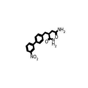 NC(=O)CC(Cc1ccc(-c2cccc([N+](=O)[O-])c2)cc1)C(N)=O